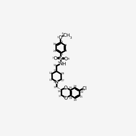 COc1ccc(S(=O)(=O)NCC2CCN(C[C@H]3COc4ccc(Cl)cc4O3)CC2)cc1